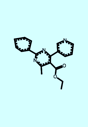 CCOC(=O)c1c(C)nc(-c2ccccc2)nc1-c1cccnc1